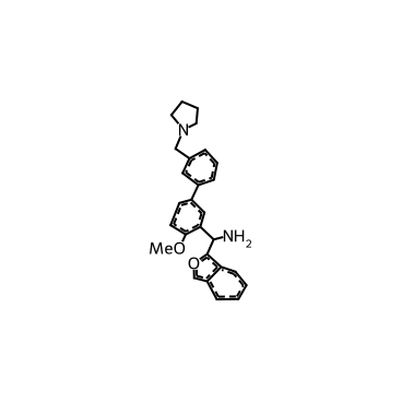 COc1ccc(-c2cccc(CN3CCCC3)c2)cc1C(N)c1occ2ccccc12